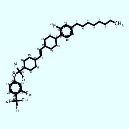 CCCCCCCCc1ccc(C2CCC(/C=C/C3CCC(C(F)(F)Oc4ccc(C(F)(F)F)c(F)c4)CC3)CC2)c(F)c1